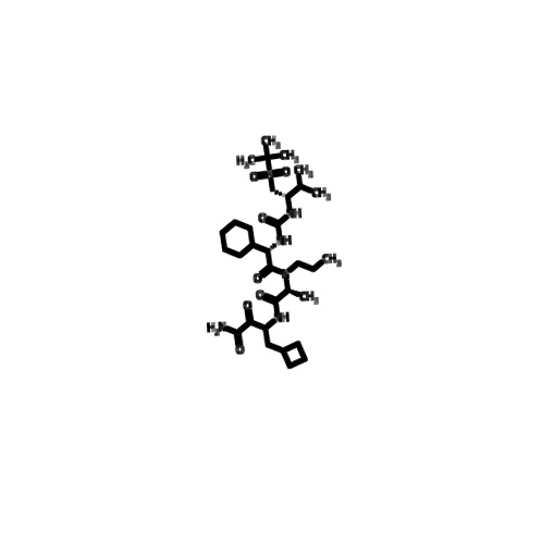 CCCN(C(=O)[C@@H](NC(=O)N[C@H](CS(=O)(=O)C(C)(C)C)C(C)C)C1CCCCC1)[C@@H](C)C(=O)NC(CC1CCC1)C(=O)C(N)=O